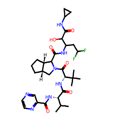 CC(C)[C@H](NC(=O)c1cnccn1)C(=O)N[C@H](C(=O)N1C[C@@H]2CCC[C@@H]2C1C(=O)NC(CC(F)F)C(O)C(=O)NC1CC1)C(C)(C)C